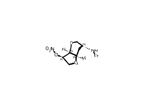 CCN[C@H]1CO[C@H]2[C@@H]1OC[C@H]2O[N+](=O)[O-]